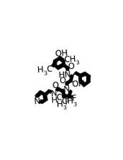 Cc1cc(O)c(C)c(C(=O)N[C@@H](Cc2ccccc2)[C@H](O)C(=O)N2CC(F)(F)C(C)(C)C2C(=O)NCc2ccncc2)c1